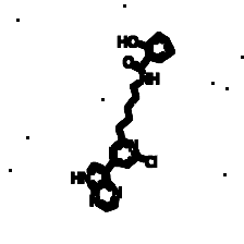 O=C(NCCCCCc1cc(-c2c[nH]c3nccnc23)cc(Cl)n1)c1ccccc1O